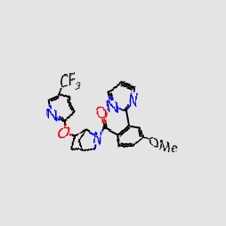 COc1ccc(C(=O)N2CC3CC(Oc4ccc(C(F)(F)F)cn4)C2C3)c(-c2ncccn2)c1